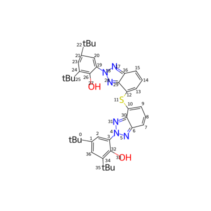 CC(C)(C)c1cc(-n2nc3cccc(Sc4cccc5nn(-c6cc(C(C)(C)C)cc(C(C)(C)C)c6O)nc45)c3n2)c(O)c(C(C)(C)C)c1